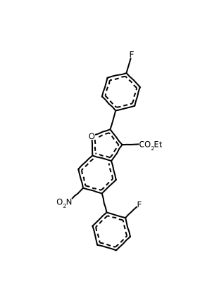 CCOC(=O)c1c(-c2ccc(F)cc2)oc2cc([N+](=O)[O-])c(-c3ccccc3F)cc12